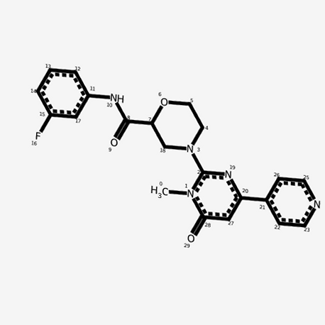 Cn1c(N2CCOC(C(=O)Nc3cccc(F)c3)C2)nc(-c2ccncc2)cc1=O